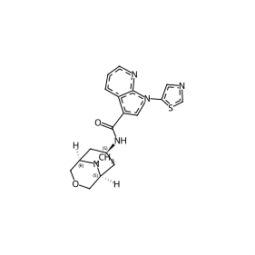 CN1[C@@H]2COC[C@H]1C[C@@H](NC(=O)c1cn(-c3cncs3)c3ncccc13)C2